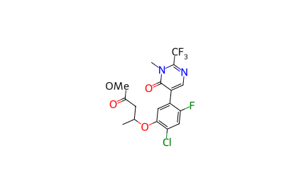 COC(=O)CC(C)Oc1cc(-c2cnc(C(F)(F)F)n(C)c2=O)c(F)cc1Cl